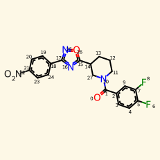 O=C(c1ccc(F)c(F)c1)N1CCCC(c2nc(-c3ccc([N+](=O)[O-])cc3)no2)C1